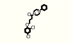 O=C(CCCOc1ccc(Cl)cc1Cl)N1CCN(c2ccccc2)CC1